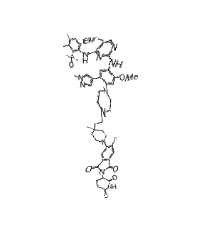 COc1cc(N2CCN(CCC3(C)CCN(c4cc5c(cc4F)C(=O)N(C4CCC(=O)NC4=O)C5=O)CC3)CC2)c(-c2cnn(C)c2)cc1Nc1ncc(Br)c(Nc2ccc(C)c(C)c2P(C)(C)=O)n1